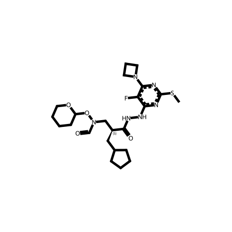 CSc1nc(NNC(=O)[C@@H](CC2CCCC2)CN(C=O)OC2CCCCO2)c(F)c(N2CCC2)n1